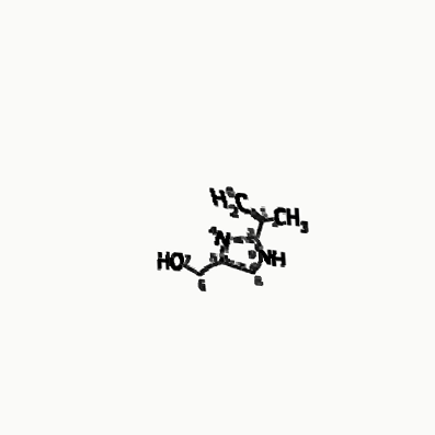 C=C(C)c1nc(CO)c[nH]1